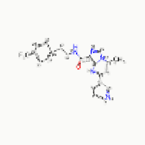 Cc1cc(-c2cccnc2)nc2c(C(=O)NCCc3ccc(C(F)(F)F)cc3)ncn12